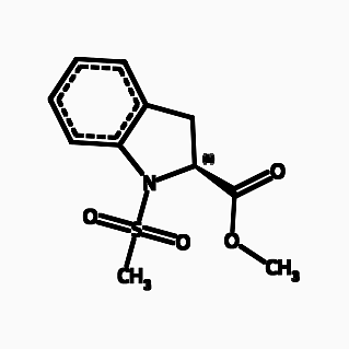 COC(=O)[C@@H]1Cc2ccccc2N1S(C)(=O)=O